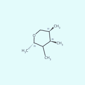 CC1[C@H](C)OC[C@@H](C)[C@H]1C